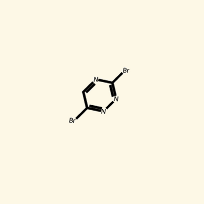 Brc1cnc(Br)nn1